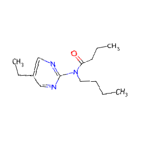 CCCCN(C(=O)CCC)c1ncc(CC)cn1